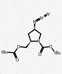 CC(C)(C)OC(=O)N1C[C@H](N=[N+]=[N-])C[C@@H]1COC(=O)C(C)(C)C